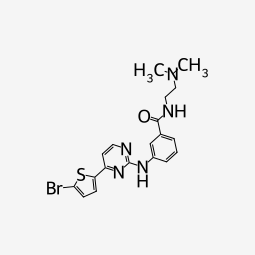 CN(C)CCNC(=O)c1cccc(Nc2nccc(-c3ccc(Br)s3)n2)c1